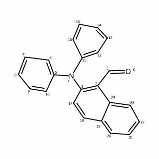 O=Cc1c(N(c2ccccc2)c2ccccc2)ccc2ccccc12